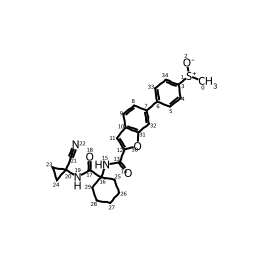 C[S+]([O-])c1ccc(-c2ccc3cc(C(=O)NC4(C(=O)NC5(C#N)CC5)CCCCC4)oc3c2)cc1